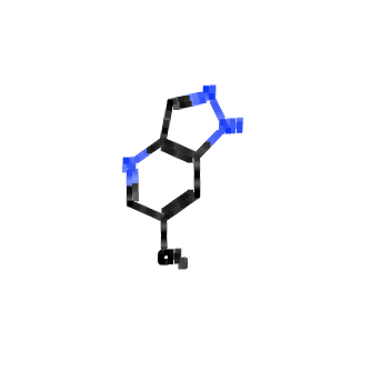 Cc1cnc2cn[nH]c2c1